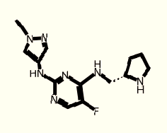 Cn1cc(Nc2ncc(F)c(NC[C@@H]3CCCN3)n2)cn1